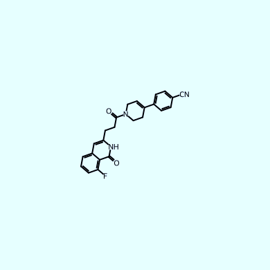 N#Cc1ccc(C2=CCN(C(=O)CCc3cc4cccc(F)c4c(=O)[nH]3)CC2)cc1